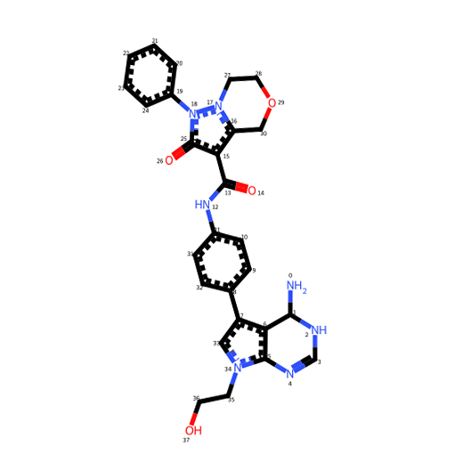 NC1NC=Nc2c1c(-c1ccc(NC(=O)c3c4n(n(-c5ccccc5)c3=O)CCOC4)cc1)cn2CCO